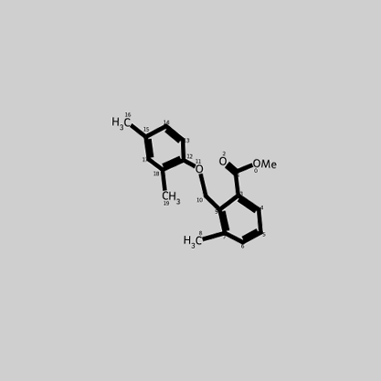 COC(=O)c1cccc(C)c1COc1ccc(C)cc1C